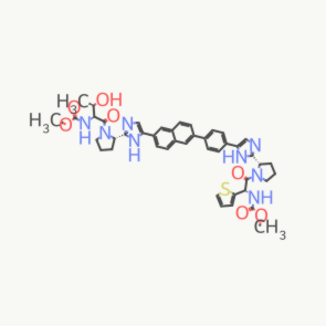 COC(=O)N[C@H](C(=O)N1CCC[C@H]1c1ncc(-c2ccc3cc(-c4ccc(-c5cnc([C@@H]6CCCN6C(=O)[C@H](NC(=O)OC)c6cccs6)[nH]5)cc4)ccc3c2)[nH]1)[C@@H](C)O